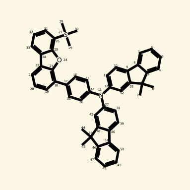 CC1(C)c2ccccc2-c2ccc(N(c3ccc(-c4cccc5c4oc4c(S(C)(C)C)cccc45)cc3)c3ccc4c(c3)C(C)(C)c3ccccc3-4)cc21